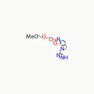 COCCOCCOCC(=O)N(C)c1ccc2c(c1)N(Cc1c[nH]cn1)CC2